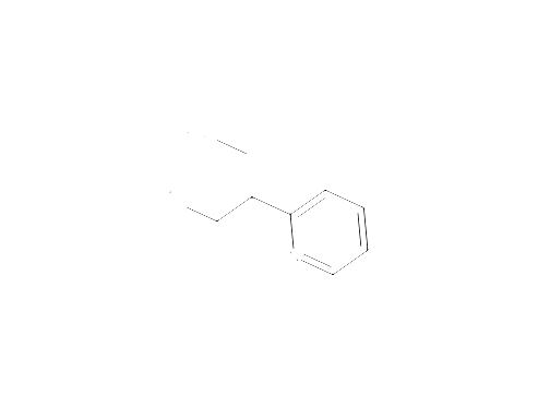 CC(=O)OC[C@@H](CO)c1ccccn1